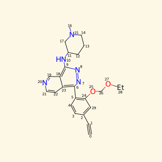 C#Cc1ccc(-c2nnc(NC3CCCN(C)C3)c3cnccc23)c(OCOCC)c1